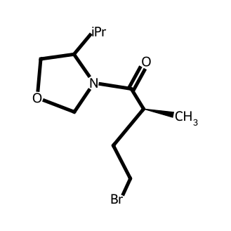 CC(C)C1COCN1C(=O)[C@@H](C)CCBr